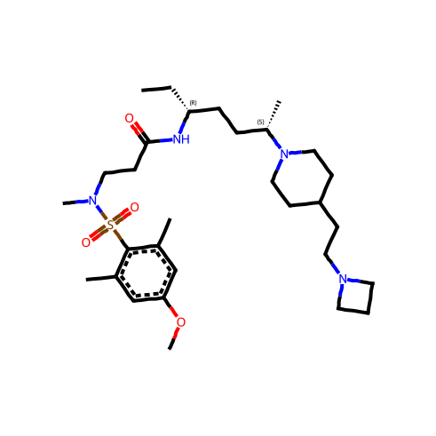 CC[C@H](CC[C@H](C)N1CCC(CCN2CCC2)CC1)NC(=O)CCN(C)S(=O)(=O)c1c(C)cc(OC)cc1C